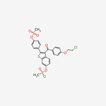 CS(=O)(=O)Oc1ccc(-c2sc3cc(OS(C)(=O)=O)ccc3c2C(=O)c2ccc(OCCCl)cc2)cc1